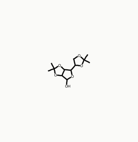 CC1(C)OCC(C2OC(O)C3OC(C)(C)OC32)O1